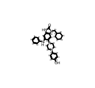 O=c1[nH]c2cc(Nc3ccccc3)c(N3CCN(c4ccc(O)cc4)CC3)cc2n1CC1CCCCC1